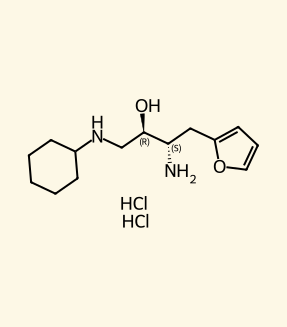 Cl.Cl.N[C@@H](Cc1ccco1)[C@H](O)CNC1CCCCC1